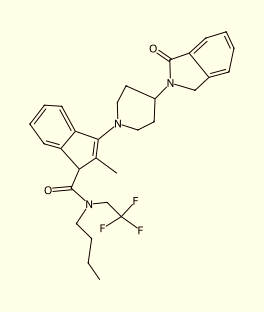 CCCCN(CC(F)(F)F)C(=O)C1C(C)=C(N2CCC(N3Cc4ccccc4C3=O)CC2)c2ccccc21